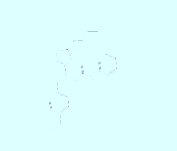 CCc1ccc(CC(NC(=O)Nc2ccc(Cl)cc2)c2noc(NCCCO)n2)cc1